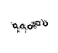 O=S(=O)(c1ccc(Nc2nccc(Nc3ccc(F)cc3)n2)cc1)N1CCC(Oc2ccccn2)CC1